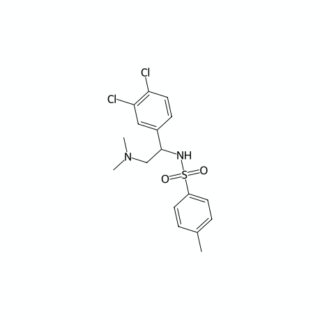 Cc1ccc(S(=O)(=O)NC(CN(C)C)c2ccc(Cl)c(Cl)c2)cc1